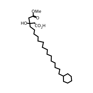 COC(=O)CC(O)(CCCCCCCCCCCCCCCC1CCCCC1)CC(=O)O